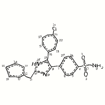 NS(=O)(=O)c1ccc(-c2nc(Cc3ccccc3)[nH]c2-c2ccc(Cl)cc2)cc1